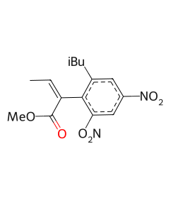 CC=C(C(=O)OC)c1c(C(C)CC)cc([N+](=O)[O-])cc1[N+](=O)[O-]